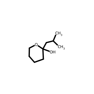 CC(C)CC1(O)CCCCO1